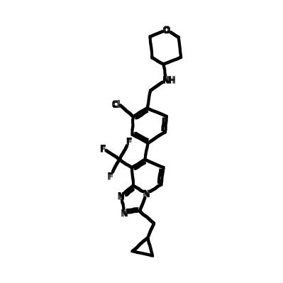 FC(F)(F)c1c(-c2ccc(CNC3CCOCC3)c(Cl)c2)ccn2c(CC3CC3)nnc12